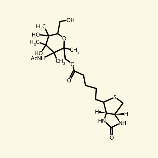 CC(=O)NC1(C)C(C)(COC(=O)CCCCC2SC[C@@H]3NC(=O)N[C@H]23)OC(CO)C(C)(O)C1(C)O